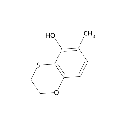 Cc1ccc2c(c1O)SCCO2